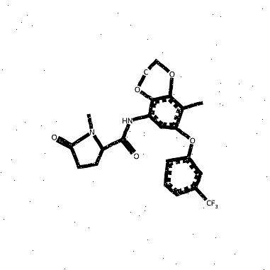 Cc1c(Oc2cccc(C(F)(F)F)c2)cc(NC(=O)C2CCC(=O)N2C)c2c1OCCO2